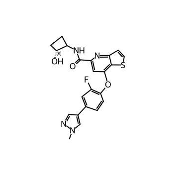 Cn1cc(-c2ccc(Oc3cc(C(=O)NC4CC[C@H]4O)nc4ccsc34)c(F)c2)cn1